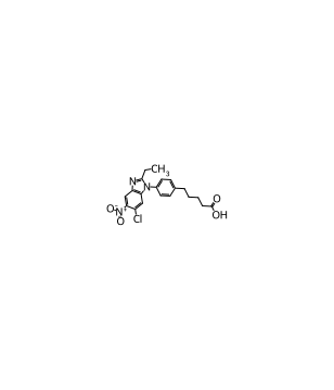 CCc1nc2cc([N+](=O)[O-])c(Cl)cc2n1-c1ccc(CCCCC(=O)O)cc1